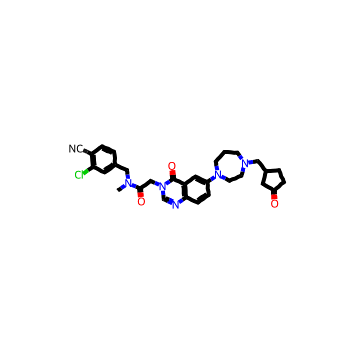 CN(Cc1ccc(C#N)c(Cl)c1)C(=O)Cn1cnc2ccc(N3CCCN(CC4CCC(=O)C4)CC3)cc2c1=O